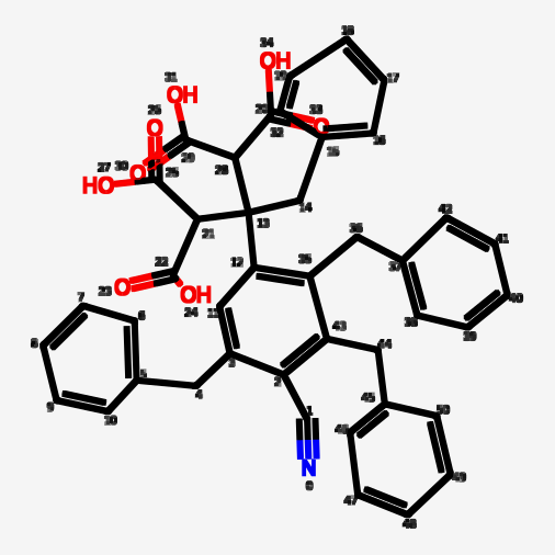 N#Cc1c(Cc2ccccc2)cc(C(Cc2ccccc2)(C(C(=O)O)C(=O)O)C(C(=O)O)C(=O)O)c(Cc2ccccc2)c1Cc1ccccc1